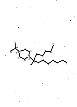 CCCCCCCC(C)(CCCCC)N1CCN(C(C)C)CC1